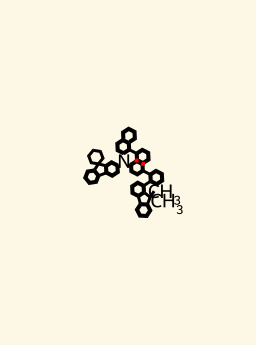 CC1(C)c2ccccc2-c2cccc(-c3ccccc3-c3ccc(N(c4ccc5c(c4)C4(CCCCC4)c4ccccc4-5)c4ccc5ccccc5c4-c4ccccc4)cc3)c21